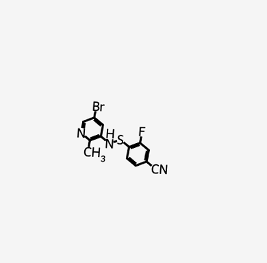 Cc1ncc(Br)cc1NSc1ccc(C#N)cc1F